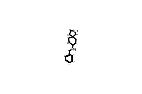 c1ccc(CNC2CCC3(CCNC3)CC2)cc1